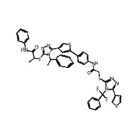 CC(Sc1nnc(-c2csc(-c3ccc(NC(=O)CSc4nnc(-c5ccsc5)n4C(F)(F)c4ccccc4)cc3)c2)n1C(C)c1ccccc1)C(=O)Nc1ccccc1